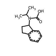 CC(C)N(C(=O)O)C1CCc2ccccc21